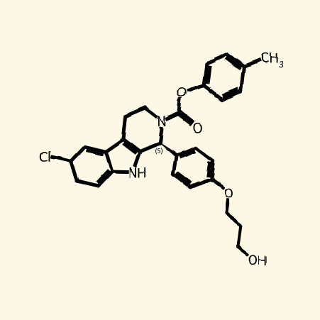 Cc1ccc(OC(=O)N2CCc3c([nH]c4c3=CC(Cl)CC=4)[C@@H]2c2ccc(OCCCO)cc2)cc1